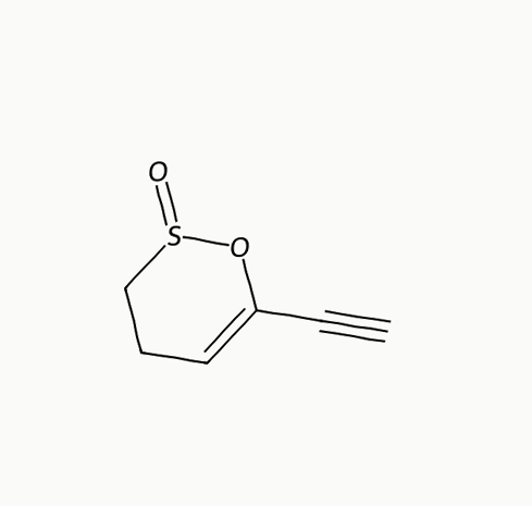 C#CC1=CCCS(=O)O1